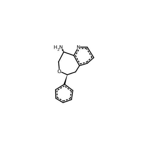 N[C@@H]1CO[C@H](c2ccccc2)Cc2cccnc21